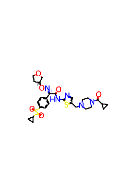 O=C(Nc1ncc(CN2CCN(C(=O)C3CC3)CC2)s1)/C(=N/O[C@@H]1CCOC1)c1ccc(S(=O)(=O)C2CC2)cc1